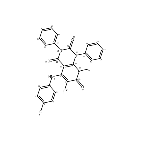 CCCc1c(Nc2ccc(Cl)cc2)c2c(=O)n(-c3ccccc3)c(=O)n(-c3ccccc3)c2n(C)c1=O